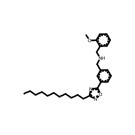 CCCCCCCCCCCc1noc(-c2cccc(CNCc3ccccc3OC)c2)n1